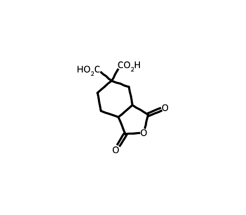 O=C1OC(=O)C2CC(C(=O)O)(C(=O)O)CCC12